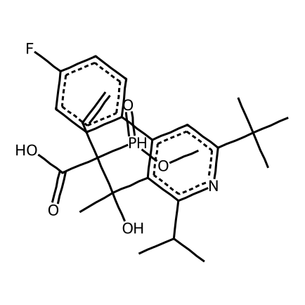 C=CC(C(=O)O)([PH](=O)OC)C(C)(O)c1c(-c2ccc(F)cc2)cc(C(C)(C)C)nc1C(C)C